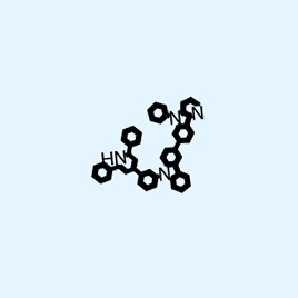 C1=C(c2cccc(-n3c4ccccc4c4cc(-c5ccc6c7ncccc7n(-c7ccccc7)c6c5)ccc43)c2)C=C(c2ccccc2)NC1c1ccccc1